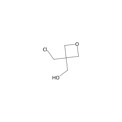 OCC1(CCl)COC1